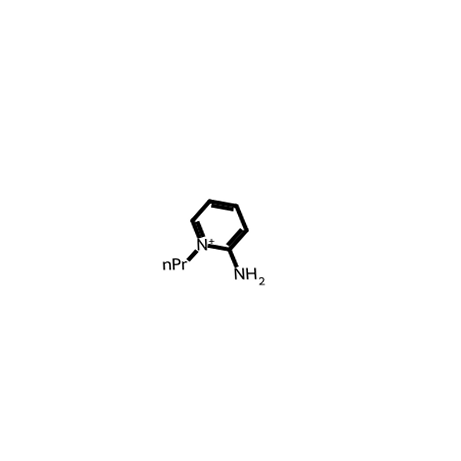 CCC[n+]1ccccc1N